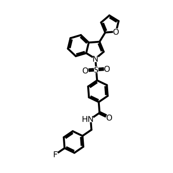 O=C(NCc1ccc(F)cc1)c1ccc(S(=O)(=O)n2cc(-c3ccco3)c3ccccc32)cc1